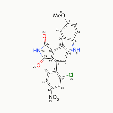 COc1ccc2[nH]c3cc(-c4ccc([N+](=O)[O-])cc4Cl)c4c(c3c2c1)C(=O)NC4=O